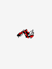 CC(C)(C)CN1C(=O)C(CNC(=O)Cc2ccccc2F)OC(c2cccc(CNC(=O)OC(C)(C)C)c2)c2cc(Cl)ccc21